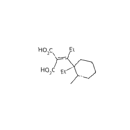 CCC(=C(C(=O)O)C(=O)O)C1(CC)CCCCC1C